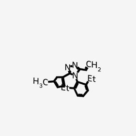 C=Cc1nnc(C2=CC=C(C)C2)n1-c1c(CC)cccc1CC